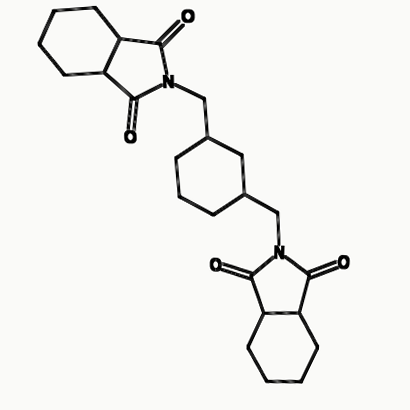 O=C1C2CCCCC2C(=O)N1CC1CCCC(CN2C(=O)C3CCCCC3C2=O)C1